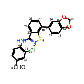 O=Cc1ccc(Nc2nsc3c(-c4ccc5c(c4)OCO5)cccc23)c(Cl)c1